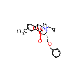 Cc1ccc2c(c1)[C@]13CCN(CC4CC4)[C@H](C2)[C@]1(O)C[C@H](CCOCc1ccccc1)C(=O)C3